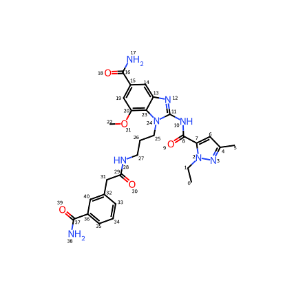 CCn1nc(C)cc1C(=O)Nc1nc2cc(C(N)=O)cc(OC)c2n1CCCNC(=O)Cc1cccc(C(N)=O)c1